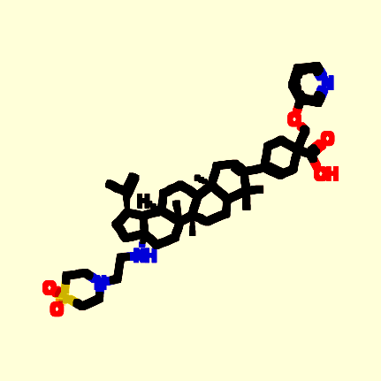 C=C(C)[C@@H]1CC[C@]2(NCCN3CCS(=O)(=O)CC3)CC[C@]3(C)[C@H](CCC4[C@@]5(C)CC=C(C6=CCC(COc7cccnc7)(C(=O)O)CC6)C(C)(C)C5CC[C@]43C)C12